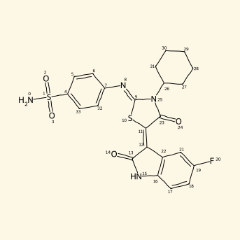 NS(=O)(=O)c1ccc(/N=C2\S/C(=C3\C(=O)Nc4ccc(F)cc43)C(=O)N2C2CCCCC2)cc1